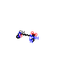 CN(Cc1ccccn1)C(=O)CCCCCCCNc1c(Nc2ccncc2)c(=O)c1=O